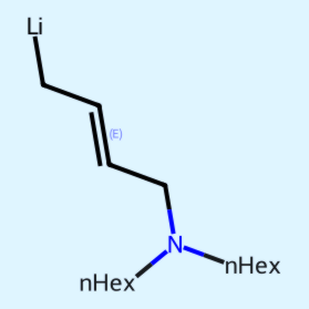 [Li][CH2]/C=C/CN(CCCCCC)CCCCCC